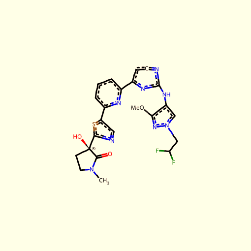 COc1nn(CC(F)F)cc1Nc1nccc(-c2cccc(-c3cnc([C@@]4(O)CCN(C)C4=O)s3)n2)n1